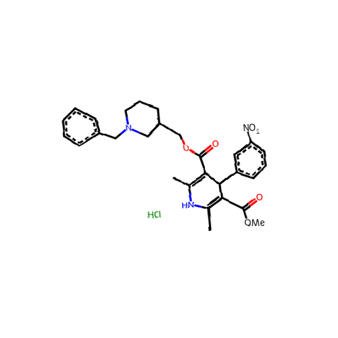 COC(=O)C1=C(C)NC(C)=C(C(=O)OCC2CCCN(Cc3ccccc3)C2)C1c1cccc([N+](=O)[O-])c1.Cl